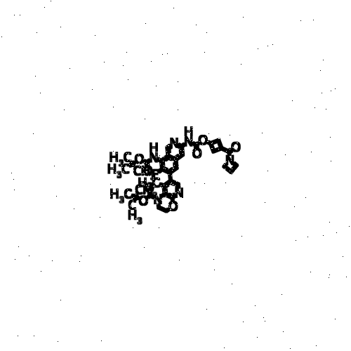 Cc1c(-c2cc3cc(NC(=O)OC4CC(C(=O)N5CCC5)C4)ncc3c(NC(=O)OC(C)(C)C)c2F)cnc2c1N(C(=O)OC(C)(C)C)CCO2